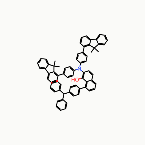 CC1(C)c2ccccc2-c2cccc(-c3ccc(N(c4ccc(-c5cccc6c5C(C)(C)c5ccccc5-6)cc4)c4ccc5cccc(-c6ccc(C(c7ccccc7)c7ccccc7)cc6)c5c4O)cc3)c21